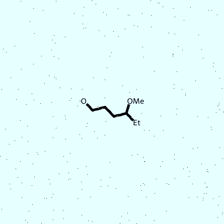 CCC(CCC[O])OC